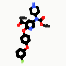 COC(=O)c1cc(N(C(=O)OC(C)(C)C)C2CCNCC2)cnc1Oc1ccc(Oc2cccc(F)c2)cc1